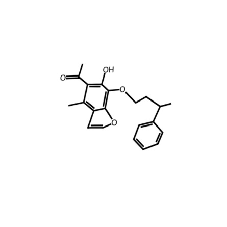 CC(=O)c1c(O)c(OCCC(C)c2ccccc2)c2occc2c1C